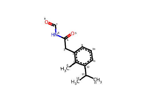 Cc1c(CC(=O)NC=O)cccc1C(C)C